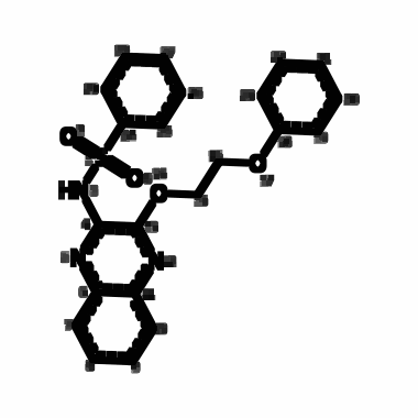 O=S(=O)(Nc1nc2ccccc2nc1OCCOc1ccccc1)c1ccccc1